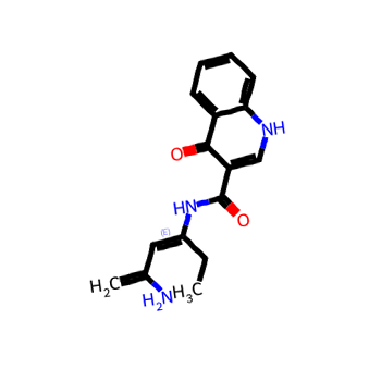 C=C(N)/C=C(\CC)NC(=O)c1c[nH]c2ccccc2c1=O